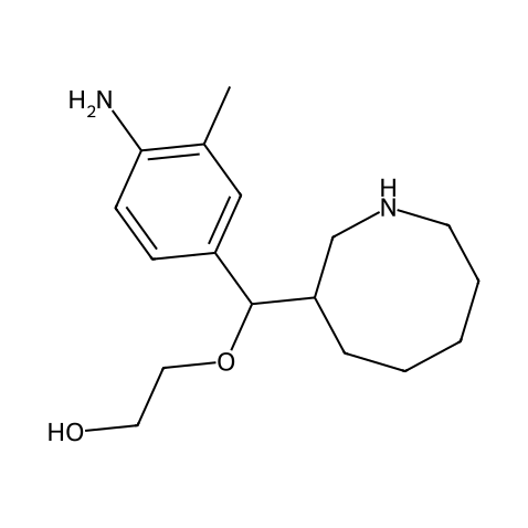 Cc1cc(C(OCCO)C2CCCCCNC2)ccc1N